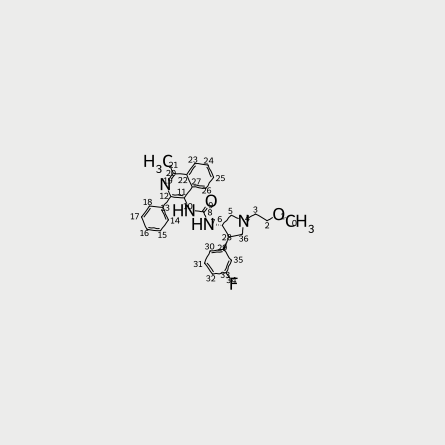 COCCN1C[C@@H](NC(=O)Nc2c(-c3ccccc3)nc(C)c3ccccc23)[C@H](c2cccc(F)c2)C1